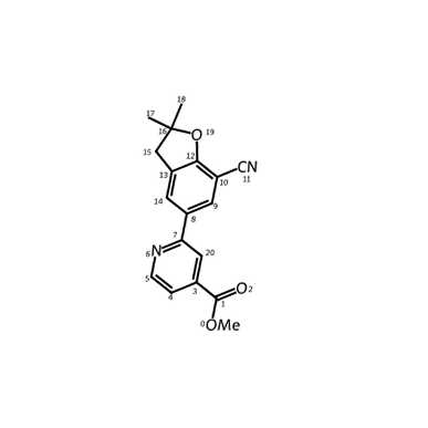 COC(=O)c1ccnc(-c2cc(C#N)c3c(c2)CC(C)(C)O3)c1